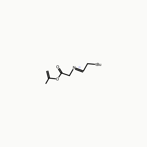 C=C(C)OC(=O)C/N=C/CC(C)(C)C